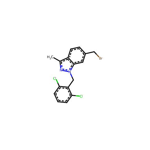 Cc1nn(Cc2c(Cl)cccc2Cl)c2cc(CBr)ccc12